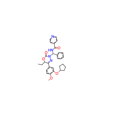 CCC1OC(=O)N(C(NC(=O)c2ccncc2)c2ccccc2)N=C1c1ccc(OC)c(OC2CCCC2)c1